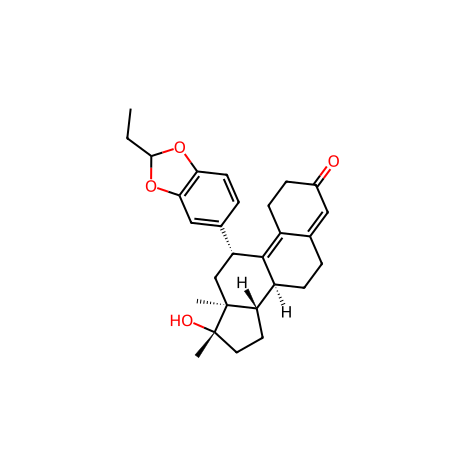 CCC1Oc2ccc([C@H]3C[C@@]4(C)[C@@H](CC[C@]4(C)O)[C@@H]4CCC5=CC(=O)CCC5=C43)cc2O1